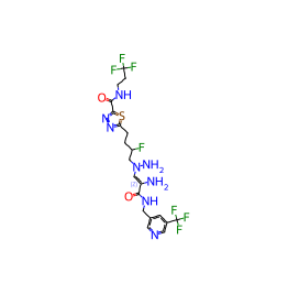 N/C(=C\N(N)CC(F)CCc1nnc(C(=O)NCCC(F)(F)F)s1)C(=O)NCc1cncc(C(F)(F)F)c1